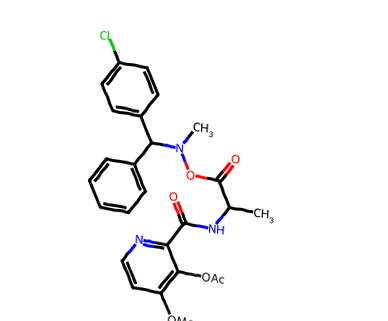 COc1ccnc(C(=O)NC(C)C(=O)ON(C)C(c2ccccc2)c2ccc(Cl)cc2)c1OC(C)=O